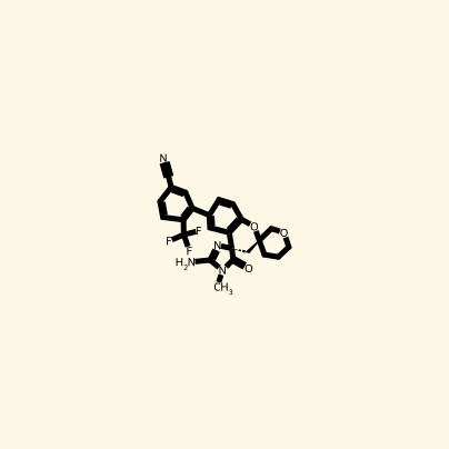 CN1C(=O)[C@@]2(C[C@@]3(CCCOC3)Oc3ccc(-c4cc(C#N)ccc4C(F)(F)F)cc32)N=C1N